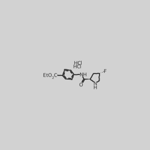 CCOC(=O)c1ccc(NC(=O)[C@H]2C[C@H](F)CN2)cc1.Cl.Cl